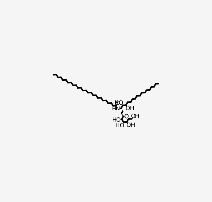 CCCCCCCCCCCCCCCCCCCCCCCCCC(=O)N[C@@H](CC[C@H]1OC(CO)[C@H](O)[C@H](O)C1O)[C@H](O)[C@H](O)CCCCCCCCCCCCCC